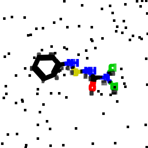 O=C(NSNc1ccccc1)N(Cl)Cl